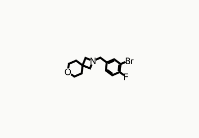 Fc1ccc(CN2CC3(CCOCC3)C2)cc1Br